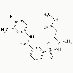 CNC(=O)CCC(C)NS(=O)(=O)c1cccc(C(=O)Nc2ccc(F)c(C)c2)c1